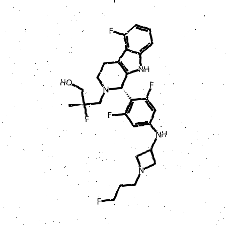 C[C@@](F)(CO)CN1CCc2c([nH]c3cccc(F)c23)[C@@H]1c1c(F)cc(NC2CN(CCCF)C2)cc1F